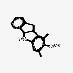 COc1c(C)cc2c(c1C)C1Cc3ccccc3C1N2